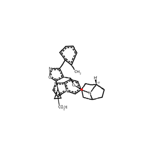 Cc1ccccc1-c1noc(C2CC2)c1COC1CC2CC[C@@H](C1)N2c1ccc2ncc(C(=O)O)n2c1